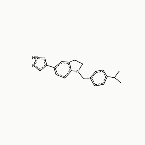 CC(C)c1ccc(CN2CCc3cc(-c4cn[nH]c4)ccc32)cc1